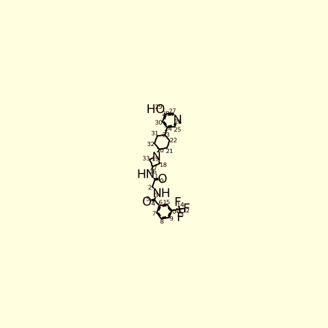 O=C(CNC(=O)c1cccc(C(F)(F)F)c1)NC1CN(C2CCC(c3cncc(O)c3)CC2)C1